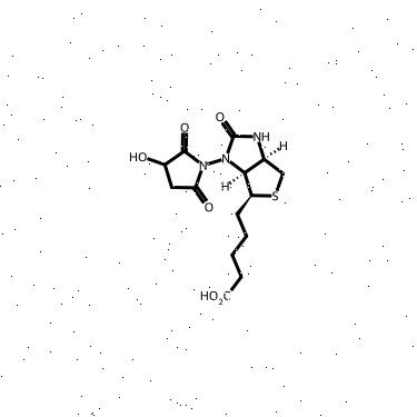 O=C(O)CCCC[C@@H]1SC[C@@H]2NC(=O)N(N3C(=O)CC(O)C3=O)[C@@H]21